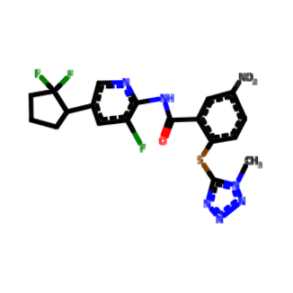 Cn1nnnc1Sc1ccc([N+](=O)[O-])cc1C(=O)Nc1ncc(C2CCCC2(F)F)cc1F